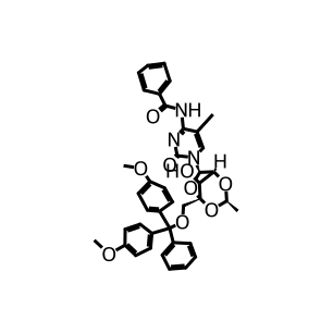 COc1ccc(C(OC[C@]23O[C@H](C)O[C@@H](C2O)[C@H](n2cc(C)c(NC(=O)c4ccccc4)nc2=O)O3)(c2ccccc2)c2ccc(OC)cc2)cc1